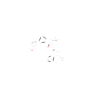 CS(=O)(=O)N1CC(O)(c2cccc(C(=O)N3[C@@H](C(=O)N[C@@H](c4ccc(C(F)(F)F)cc4F)C4CC4)C[C@H]4C[C@H]43)c2)C1